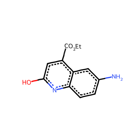 CCOC(=O)c1cc(O)nc2ccc(N)cc12